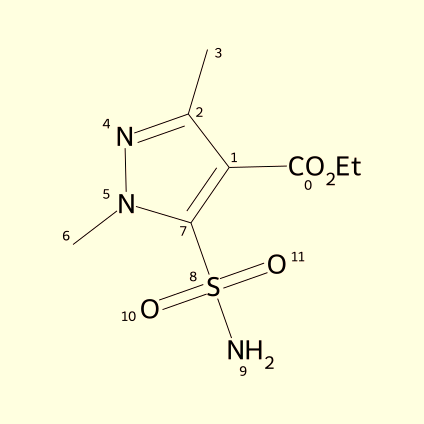 CCOC(=O)c1c(C)nn(C)c1S(N)(=O)=O